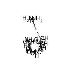 CC[C@H](C)[C@H]1NC(=O)[C@@H](NC(=O)CC(O)CCCCCCCCCCCCN=C(N)N)[C@@H](C)OC(=O)[C@@H](C)NC(=O)[C@@H](CCC(N)=O)NC(=O)[C@@H]([C@@H](C)O)NC(=O)[C@H](C(C)C)NC1=O